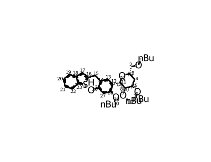 CCCCOC[C@@H]1C[C@H](OCCCC)[C@@H](OCCCC)[C@H](c2cc(Cc3cc4ccccc4s3)c(O)cc2OCCCC)O1